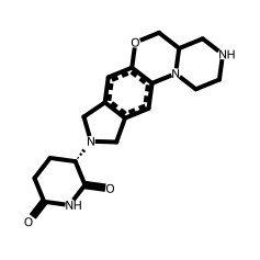 O=C1CC[C@H](N2Cc3cc4c(cc3C2)N2CCNCC2CO4)C(=O)N1